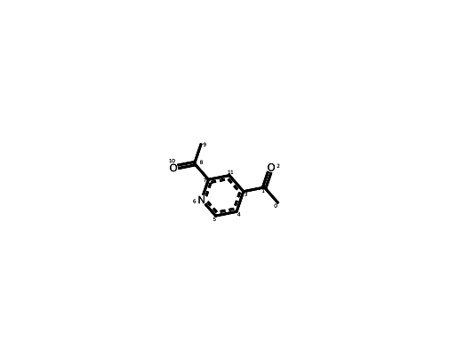 CC(=O)c1ccnc(C(C)=O)c1